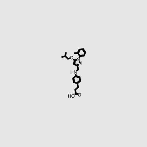 Cc1ccccc1-n1nc(CNc2ccc(CCC(=O)O)cc2)cc1OCC(C)C